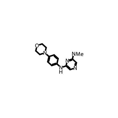 CNc1cncc(Nc2ccc(N3CCOCC3)cc2)n1